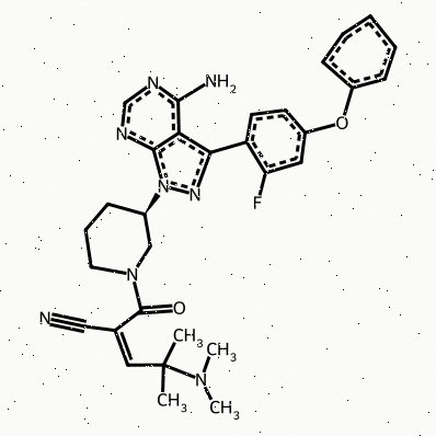 CN(C)C(C)(C)/C=C(/C#N)C(=O)N1CCC[C@@H](n2nc(-c3ccc(Oc4ccccc4)cc3F)c3c(N)ncnc32)C1